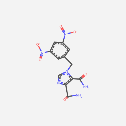 NC(=O)c1ncn(Cc2cc([N+](=O)[O-])cc([N+](=O)[O-])c2)c1C(N)=O